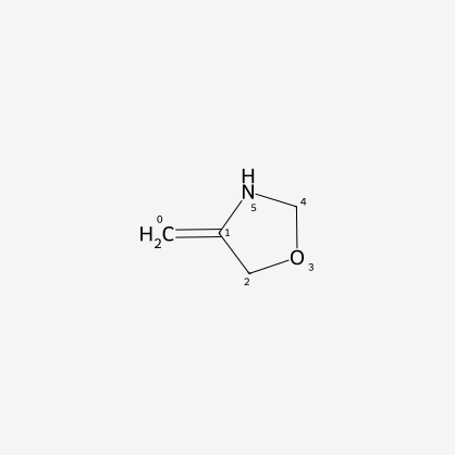 C=C1COCN1